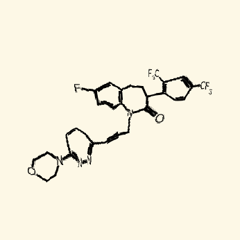 O=C1C(c2ccc(C(F)(F)F)cc2C(F)(F)F)CCc2cc(F)ccc2N1CC#Cc1ccc(N2CCOCC2)nn1